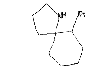 CC(C)C1CCCCC12CCCN2